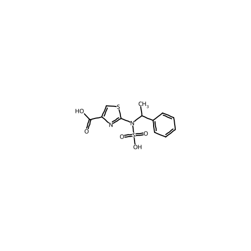 CC(c1ccccc1)N(c1nc(C(=O)O)cs1)S(=O)(=O)O